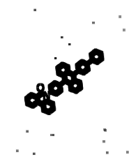 O=c1c2ccccc2c2ccccc2n1-c1ccc(-c2c3ccccc3c(-c3ccc(-c4ccccc4)cc3)c3ccccc23)cc1